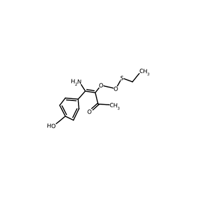 CCSOO/C(C(C)=O)=C(\N)c1ccc(O)cc1